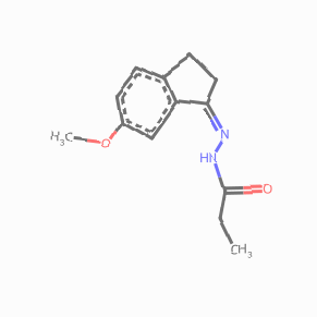 CCC(=O)N/N=C1/CCc2ccc(OC)cc21